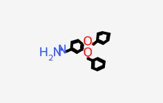 NN=Cc1ccc(OCc2ccccc2)c(OCc2ccccc2)c1